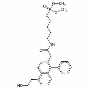 COP(=O)(OC)OCCCCNC(=O)Cc1cnc2c(CCO)cccc2c1-c1ccccc1